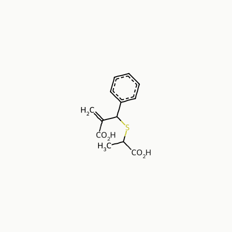 C=C(C(=O)O)C(SC(C)C(=O)O)c1ccccc1